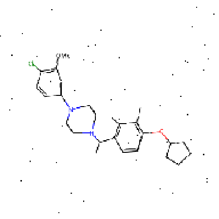 COc1cc(N2CCN(C(C)c3ccc(OC4CCCC4)c(C)c3C)CC2)ccc1Cl